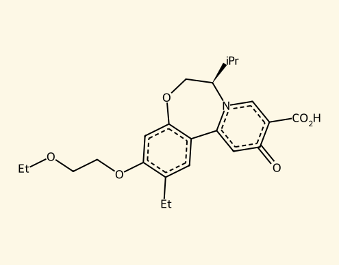 CCOCCOc1cc2c(cc1CC)-c1cc(=O)c(C(=O)O)cn1[C@H](C(C)C)CO2